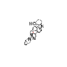 OC1(c2ccc(Cl)cc2)CCCCc2nc3ccc(-c4cnc(N5CCOCC5)nc4)cn3c21